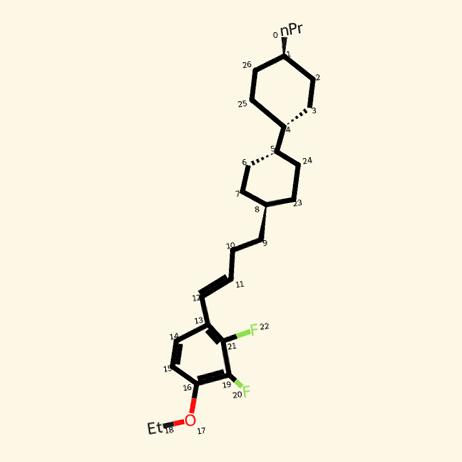 CCC[C@H]1CC[C@H]([C@H]2CC[C@H](CCC=Cc3ccc(OCC)c(F)c3F)CC2)CC1